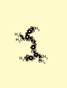 COC[C@H](C)Oc1cc(Oc2ccc(S(C)(=O)=O)cc2)cc(C(=O)Nc2ncc(Oc3cccc(OC(=O)c4cc(Oc5ccc(S(C)(=O)=O)cc5)cc(O[C@@H](C)COC)c4)c3)s2)c1